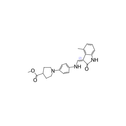 COC(=O)C1CCN(c2ccc(N/C=C3\C(=O)Nc4cccc(C)c43)cc2)CC1